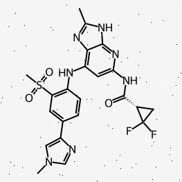 Cc1nc2c(Nc3ccc(-c4cn(C)cn4)cc3S(C)(=O)=O)cc(NC(=O)[C@@H]3CC3(F)F)nc2[nH]1